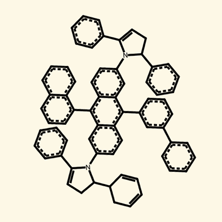 C1=CCC(C2CC=C(c3ccccc3)N2c2ccc3c(-c4cccc(-c5ccccc5)c4)c4cc(N5C(c6ccccc6)=CCC5c5ccccc5)ccc4c(-c4cccc5ccccc45)c3c2)C=C1